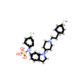 O=S(=O)(O)N(c1ccc(F)cc1)c1ccc2c(c1)N(C1CCN(CCc3ccc(F)cc3)CC1)CC2